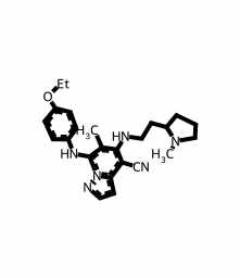 CCOc1ccc(Nc2c(C)c(NCCC3CCCN3C)c(C#N)c3ccnn23)cc1